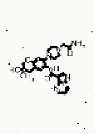 C[C@@]1(O)COc2cc(N3CCN(CC(N)=O)CC3)c(NC(=O)c3cnn4cccnc34)cc2C1